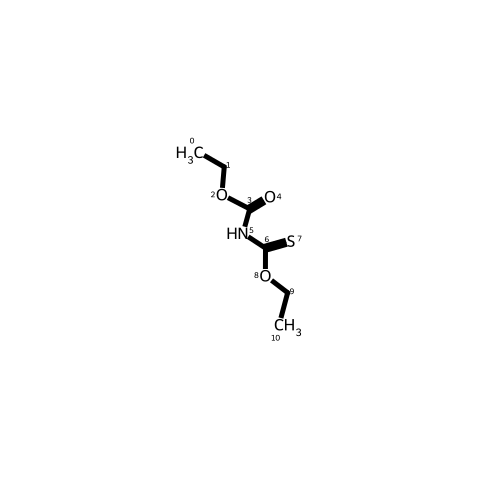 CCOC(=O)NC(=S)OCC